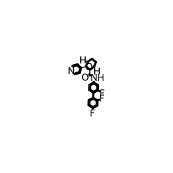 O=C(Nc1ccc(-c2ccc(F)cc2F)c(F)c1)[C@H]1[C@@H](c2ccncc2)[C@@H]2CC[C@H]1O2